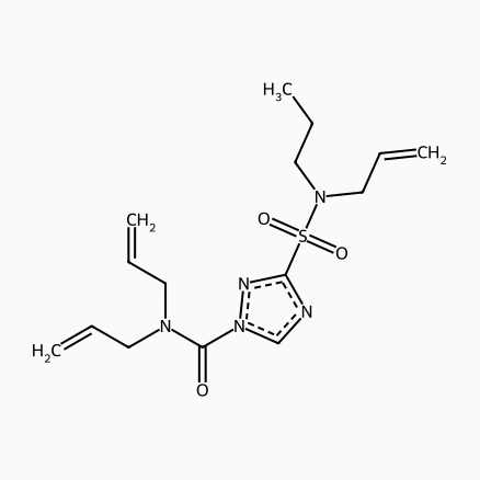 C=CCN(CC=C)C(=O)n1cnc(S(=O)(=O)N(CC=C)CCC)n1